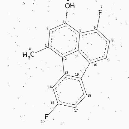 Cc1cc(O)c2c(F)ccc3c2c1-c1cc(F)ccc1-3